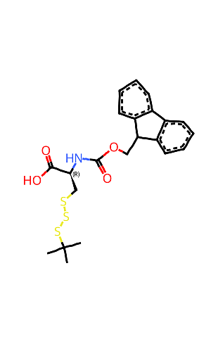 CC(C)(C)SSSC[C@H](NC(=O)OCC1c2ccccc2-c2ccccc21)C(=O)O